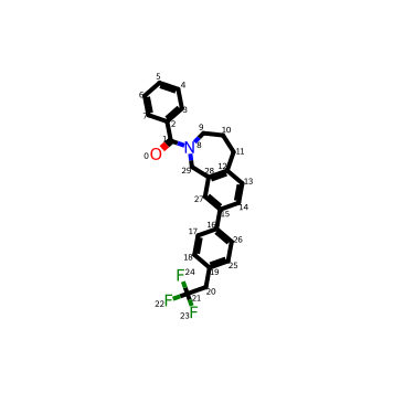 O=C(c1ccccc1)N1CCCc2ccc(-c3ccc(CC(F)(F)F)cc3)cc2C1